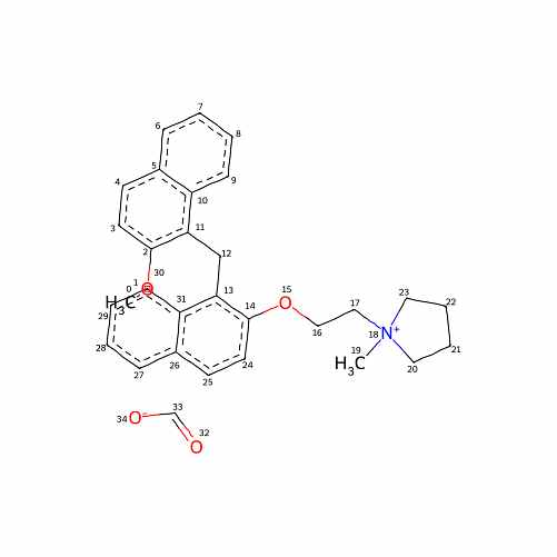 COc1ccc2ccccc2c1Cc1c(OCC[N+]2(C)CCCC2)ccc2ccccc12.O=C[O-]